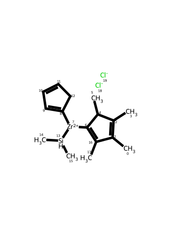 CC1=C(C)C(C)[C]([Zr+2]([C]2=CC=CC2)[SiH](C)C)=C1C.[Cl-].[Cl-]